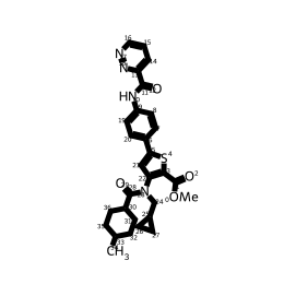 COC(=O)c1sc(-c2ccc(NC(=O)c3cccnn3)cc2)cc1N(CC1CC1)C(=O)C1CCC(C)CC1